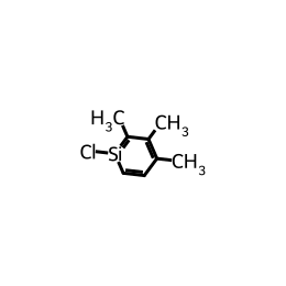 Cc1cc[si](Cl)c(C)c1C